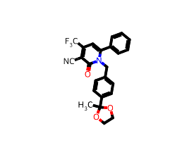 CC1(c2ccc(Cn3c(-c4ccccc4)cc(C(F)(F)F)c(C#N)c3=O)cc2)OCCO1